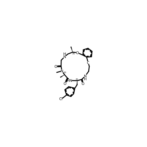 C[C@@H]1CNCC(=O)N(C)[C@H](C)C(=O)N[C@H](Cc2ccc(Cl)cc2)C(=O)NCCCc2ccccc2O1